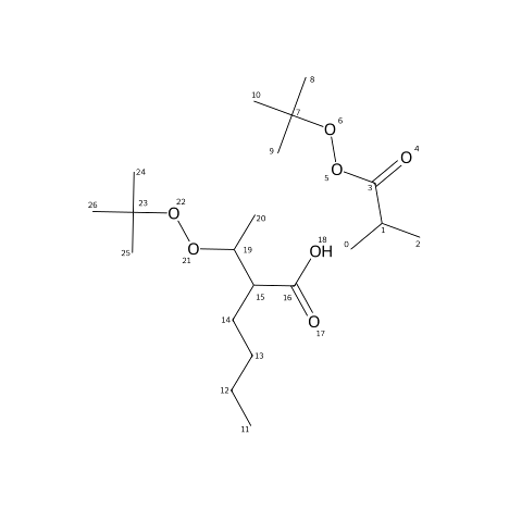 CC(C)C(=O)OOC(C)(C)C.CCCCC(C(=O)O)C(C)OOC(C)(C)C